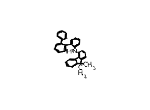 CC1(C)c2ccccc2-c2c(Nc3ccccc3-c3ccccc3-c3ccccc3)cccc21